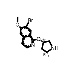 COc1cc2ccnc(O[C@H]3CN[C@H](C)C3)c2cc1Br